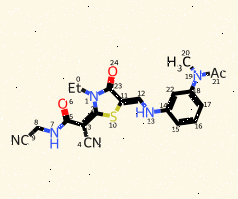 CCn1c(=C(C#N)C(=O)NCC#N)sc(=CNc2cccc(N(C)C(C)=O)c2)c1=O